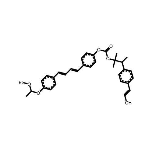 CCOC(C)Oc1ccc(C=CC=Cc2ccc(OC(=O)OC(C)(C)C(C)c3ccc(C=CO)cc3)cc2)cc1